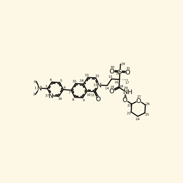 CN(C)c1ccc(-c2ccc3c(=O)n(CC[C@](C)(C(=O)NOC4CCCCO4)S(C)(=O)=O)ccc3c2)cn1